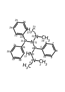 CN(C)NP(c1ccccc1)N(N(C)C)P(c1ccccc1)c1ccccc1